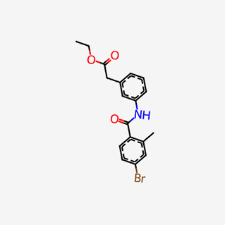 CCOC(=O)Cc1cccc(NC(=O)c2ccc(Br)cc2C)c1